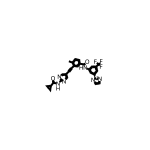 Cc1ccc(C(=O)Nc2cc(-n3nccn3)cc(C(F)(F)F)c2)cc1C#Cc1cnc(NC(=O)C2CC2)nc1